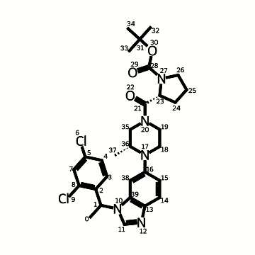 CC(c1ccc(Cl)cc1Cl)n1cnc2ccc(N3CCN(C(=O)[C@H]4CCCN4C(=O)OC(C)(C)C)C[C@H]3C)cc21